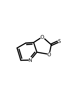 S=c1oc2cccnc2o1